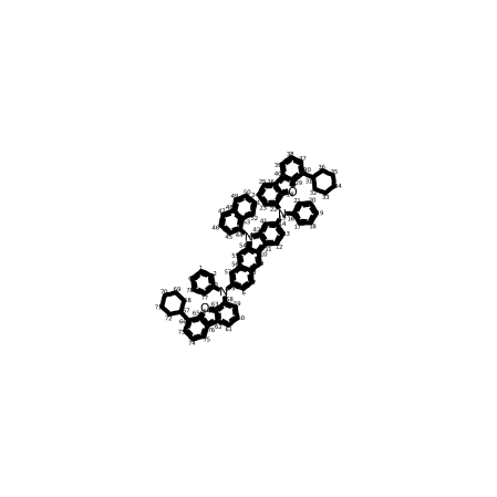 c1ccc(N(c2ccc3cc4c5ccc(N(c6ccccc6)c6cccc7c6oc6c(C8CCCCC8)cccc67)cc5n(-c5cccc6ccccc56)c4cc3c2)c2cccc3c2oc2c(C4CCCCC4)cccc23)cc1